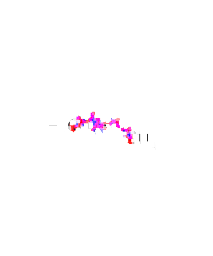 CC1(C)c2ccccc2-c2ccc(-n3c4ccccc4c4cc(-c5ccc6c(c5)c5ccccc5n6-c5ccc(-c6ccc7c8c(cccc68)-c6nc(-c8ccccc8)nc(-c8cccc(-n9c%10ccccc%10c%10cc(-c%11ccc%12c(c%11)c%11ccccc%11n%12-c%11ccc%12c(c%11)C(C)(C)c%11ccccc%11-%12)ccc%109)c8)c6-7)cc5)ccc43)cc21